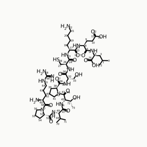 CC(C)C[C@H](NC(=O)[C@H](CCC(=O)O)NC(=O)[C@H](CCCCN)NC(=O)[C@H](CS)NC(=O)[C@H](CO)NC(=O)[C@@H]1CCCN1C(=O)[C@@H](NC(=O)[C@@H](NC(=O)[C@@H]1CCCN1C(=O)[C@@H](N)CCCNC(=N)N)C(C)C)[C@@H](C)O)C(=O)O